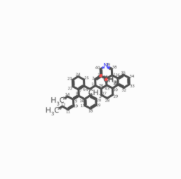 C/C=C\C(C(C)C1=C(/C(=C(/C=C\CC)CC)c2ccccc2)C=CCC1)C1CCCC(c2ccccc2C2C=NC=CC2)C1C